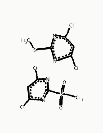 CS(=O)(=O)c1nc(Cl)cc(Cl)n1.CSc1nc(Cl)cc(Cl)n1